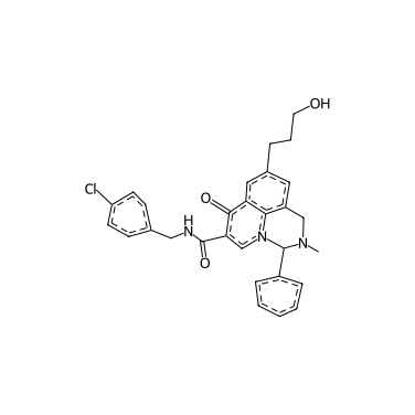 CN1Cc2cc(CCCO)cc3c(=O)c(C(=O)NCc4ccc(Cl)cc4)cn(c23)C1c1ccccc1